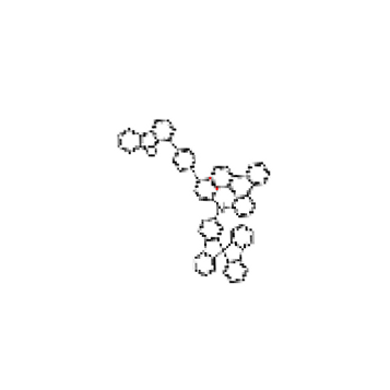 c1ccc2c(c1)-c1ccccc1C21c2ccccc2-c2ccc(N(c3ccc(-c4ccc(-c5cccc6c5oc5ccccc56)cc4)cc3)c3cccc4c5ccccc5c5ccccc5c34)cc21